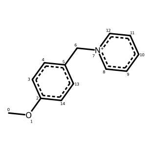 COc1ccc(C[n+]2ccccc2)cc1